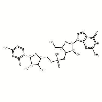 Nc1ncn([C@@H]2O[C@H](COP(=O)(O)OC3[C@@H](CO)O[C@@H](n4cnc5c(=O)[nH]c(N)nc54)[C@H]3O)C(O)[C@@H]2O)c(=O)n1